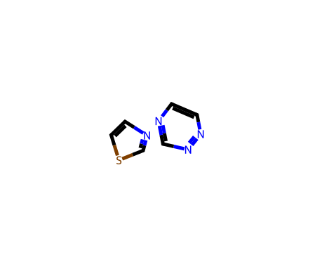 c1cnncn1.c1cscn1